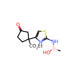 CCOC(=O)C1(c2csc(NB(C)O)n2)CCC(=O)C1